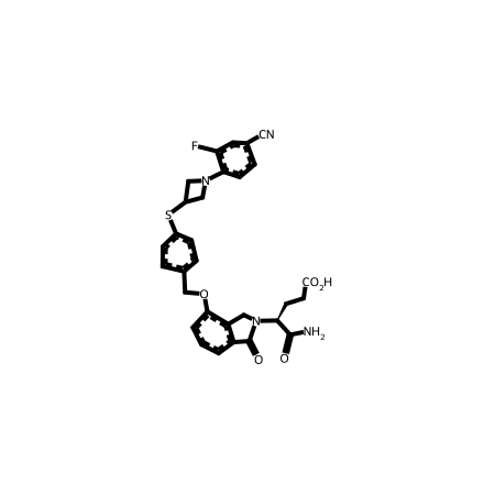 N#Cc1ccc(N2CC(Sc3ccc(COc4cccc5c4CN([C@@H](CCC(=O)O)C(N)=O)C5=O)cc3)C2)c(F)c1